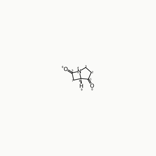 O=C1CCN2C(=O)C[C@@H]12